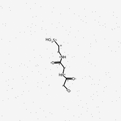 [O]CC(=O)NCC(=O)NCCS(=O)(=O)O